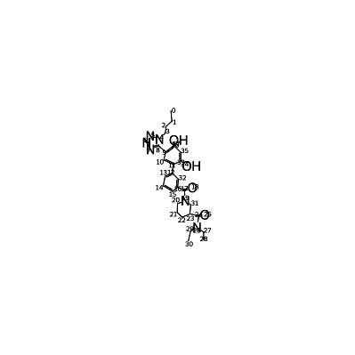 CCCCn1nnnc1-c1cc(-c2cccc(C(=O)N3CCCC(C(=O)N(CC)CC)C3)c2)c(O)cc1O